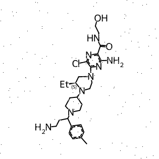 CC[C@H]1CN(c2nc(N)c(C(=O)NCCO)nc2Cl)CCN1C1CCN(C(CCN)c2ccc(C)cc2)CC1